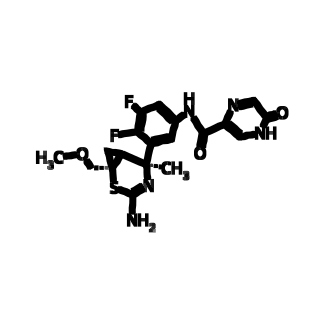 COC[C@]12CC1[C@@](C)(c1cc(NC(=O)c3c[nH]c(=O)cn3)cc(F)c1F)N=C(N)S2